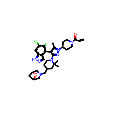 C=CC(=O)N1CCC(n2nc(N3CCC(CN4CC5CC(C4)O5)CC3(C)C)c(-c3c(Cl)c(Cl)cc4[nH]ncc34)c2C)CC1